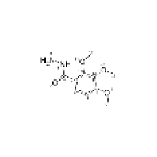 COc1ccc(C(=O)NN)c(OC)c1OC